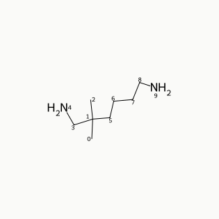 CC(C)(CN)CCCCN